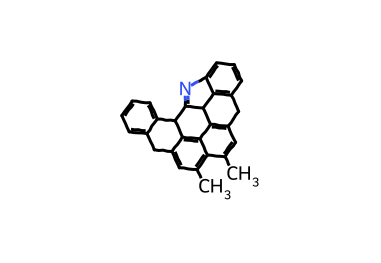 Cc1cc2c3c4c5c(cc(C)c14)Cc1cccc4c1C5C(=N4)C3c1ccccc1C2